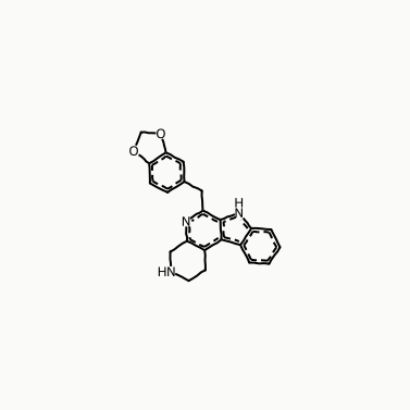 c1ccc2c(c1)[nH]c1c(Cc3ccc4c(c3)OCO4)nc3c(c12)CCNC3